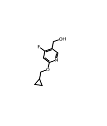 OCc1cnc(OCC2CC2)cc1F